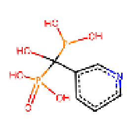 O=P(O)(O)C(O)(c1cccnc1)P(O)O